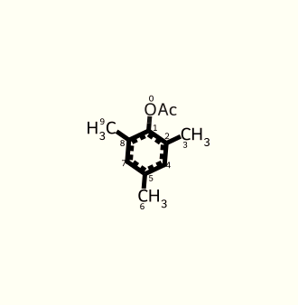 CC(=O)Oc1c(C)cc(C)cc1C